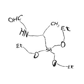 CCO[Si](OCC)(OCC)C(C)NC=O